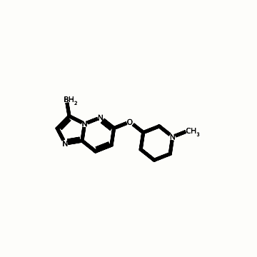 Bc1cnc2ccc(OC3CCCN(C)C3)nn12